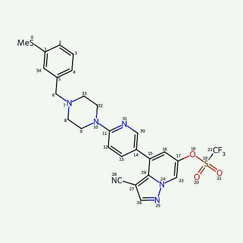 CSc1cccc(CN2CCN(c3ccc(-c4cc(OS(=O)(=O)C(F)(F)F)cn5ncc(C#N)c45)cn3)CC2)c1